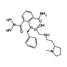 CCCN(CCC)C(=O)c1cccc(C(N)=O)c1[C@H](Cc1ccccc1)[C@@H](O)CNCCC1CCCN1C